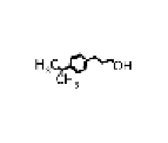 CC(C)c1ccc(CCCO)cc1